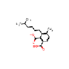 Cc1ccc(C(=O)O)c(C(=O)O)c1CCCCC(C)C